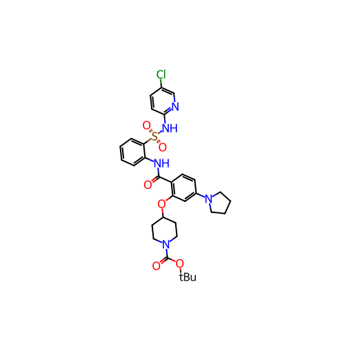 CC(C)(C)OC(=O)N1CCC(Oc2cc(N3CCCC3)ccc2C(=O)Nc2ccccc2S(=O)(=O)Nc2ccc(Cl)cn2)CC1